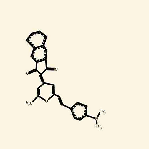 CC1=CC(=C2C(=O)c3cc4ccccc4cc3C2=O)C=C(/C=C/c2ccc(N(C)C)cc2)O1